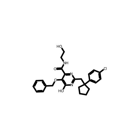 O=C(NCCO)c1nc(CC2(c3ccc(Cl)cc3)CCCC2)nc(O)c1OCc1ccccc1